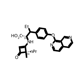 CCC[C@]1(C)C(=O)C=C1N[C@H](C(=O)O)C(CC)c1ccc(Oc2nccc3ccncc23)cc1